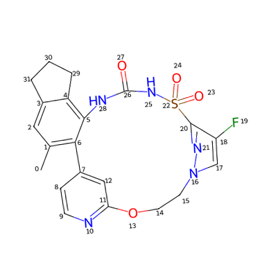 Cc1cc2c(c3c1-c1ccnc(c1)OCCn1cc(F)c(n1)S(=O)(=O)NC(=O)N3)CCC2